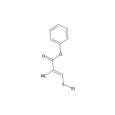 CCSC=C(C#N)C(=O)Oc1ccccc1